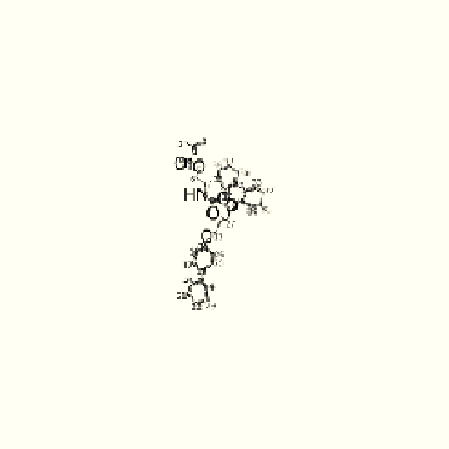 C=C(C)C(=O)OCCNC(=O)OC(COc1ccc(-c2ccccc2)cc1)COc1ccccc1-c1ccccc1